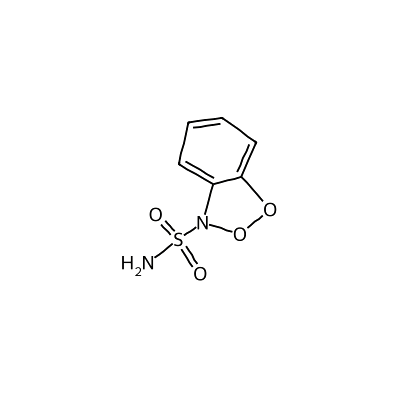 NS(=O)(=O)N1OOc2ccccc21